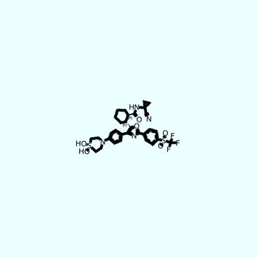 N#CC1(NC(=O)[C@@H]2CCCC[C@H]2c2oc(-c3ccc(S(=O)(=O)C(F)(F)F)cc3)nc2-c2ccc(N3CCS(O)(O)CC3)cc2)CC1